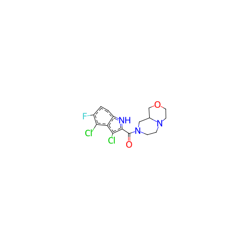 O=C(c1[nH]c2ccc(F)c(Cl)c2c1Cl)N1CCN2CCOCC2C1